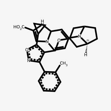 Cc1ccccc1-c1noc(C2CC2)c1COC1CC2CC[C@@H](C1)N2C1=CC2NC(C(=O)O)=CN2C=C1